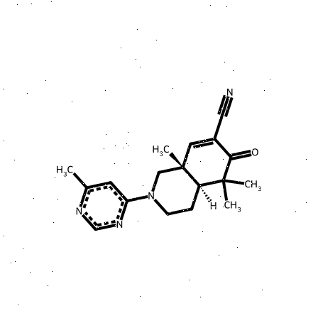 Cc1cc(N2CC[C@@H]3C(C)(C)C(=O)C(C#N)=C[C@@]3(C)C2)ncn1